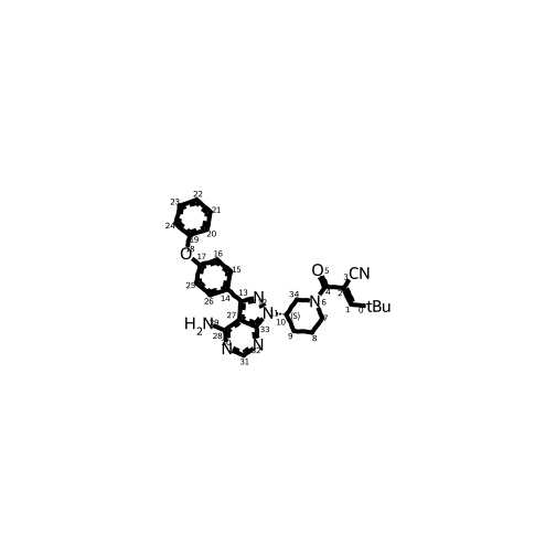 CC(C)(C)C=C(C#N)C(=O)N1CCC[C@H](n2nc(-c3ccc(Oc4ccccc4)cc3)c3c(N)ncnc32)C1